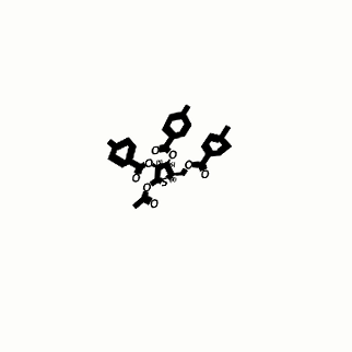 CC(=O)OC1S[C@H](COC(=O)c2ccc(C)cc2)[C@@H](OC(=O)c2ccc(C)cc2)[C@@H]1OC(=O)c1ccc(C)cc1